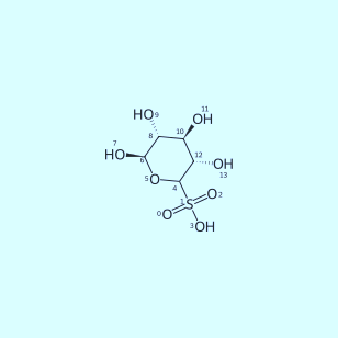 O=S(=O)(O)C1O[C@@H](O)[C@H](O)[C@@H](O)[C@@H]1O